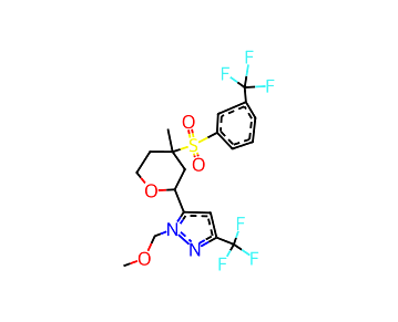 COCn1nc(C(F)(F)F)cc1C1CC(C)(S(=O)(=O)c2cccc(C(F)(F)F)c2)CCO1